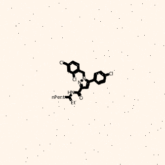 CCCCCC(CC)NC(=O)c1cc(-c2ccc(Cl)cc2)n(Cc2ccc(Cl)cc2Cl)n1